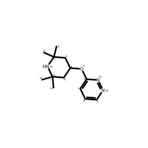 CC1(C)CC(Oc2cccnn2)CC(C)(C)N1